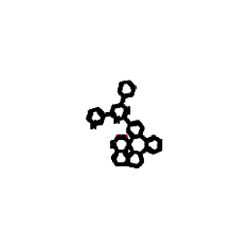 c1ccc(-c2cc(-c3cccnc3)nc(-c3ccc4c(c3)C3(c5ccccc5Sc5ccccc53)c3ccccc3-c3ccccc3-4)n2)cc1